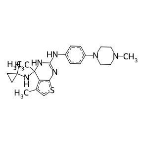 Cc1csc2c1C(C)(NC1(C)CC1)NC(Nc1ccc(N3CCN(C)CC3)cc1)=N2